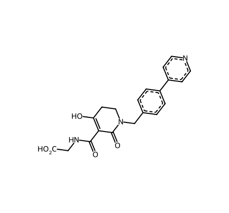 O=C(O)CNC(=O)C1=C(O)CCN(Cc2ccc(-c3ccncc3)cc2)C1=O